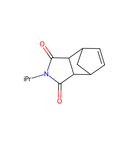 CC(C)N1C(=O)C2C3C=CC(C3)C2C1=O